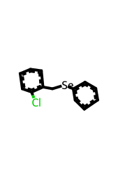 Clc1ccccc1C[Se]c1ccccc1